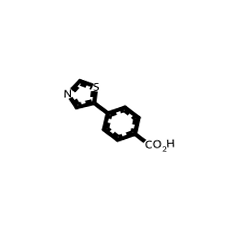 O=C(O)c1ccc(-c2cncs2)cc1